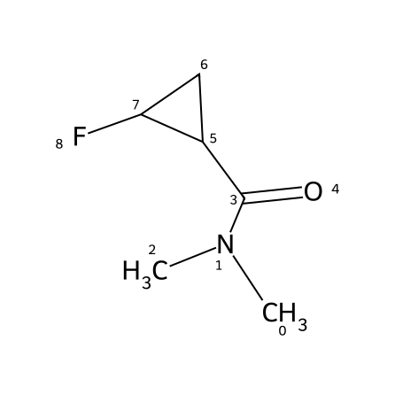 CN(C)C(=O)C1CC1F